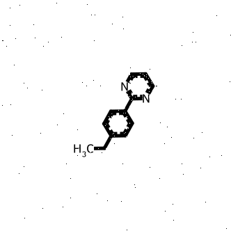 CCc1ccc(-c2n[c]ccn2)cc1